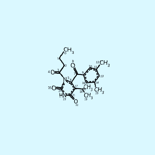 CCCC(=O)n1c(C(=O)c2cc(C)cc(C)c2)c(C(C)C)c(=O)[nH]c1=O